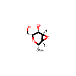 CO[C@@H]1O[C@H](CO)[C@@H](O)[C@H]2O[C@@H]12